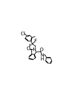 Cc1cc(Cl)ccc1C(F)(F)CN1C(=O)c2ccccc2C1C(=O)NCc1ccccc1